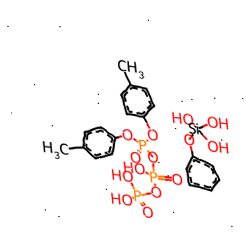 Cc1ccc(OP(=O)(Oc2ccc(C)cc2)OP(=O)(O)OP(=O)(O)O)cc1.O[Si](O)(O)Oc1ccccc1